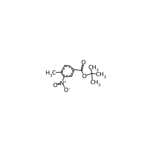 Cc1ccc(C(=O)OC(C)(C)C)cc1[N+](=O)[O-]